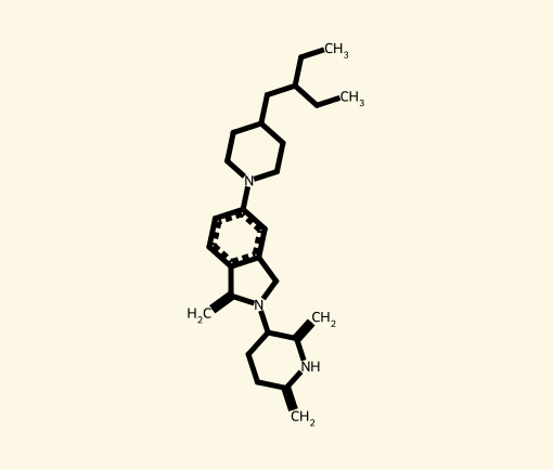 C=C1CCC(N2Cc3cc(N4CCC(CC(CC)CC)CC4)ccc3C2=C)C(=C)N1